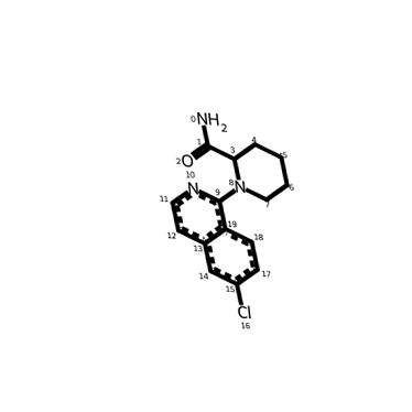 NC(=O)C1C[CH]CCN1c1nccc2cc(Cl)ccc12